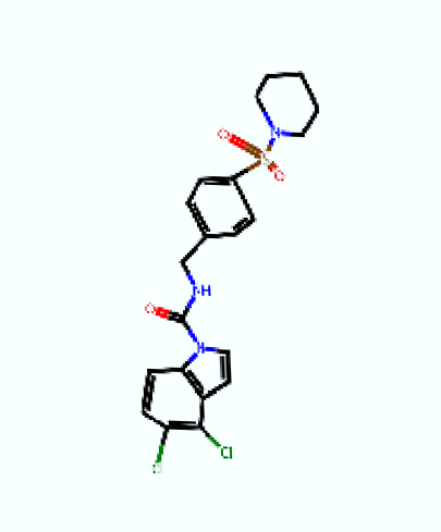 O=C(NCc1ccc(S(=O)(=O)N2CCCCC2)cc1)n1ccc2c(Cl)c(Cl)ccc21